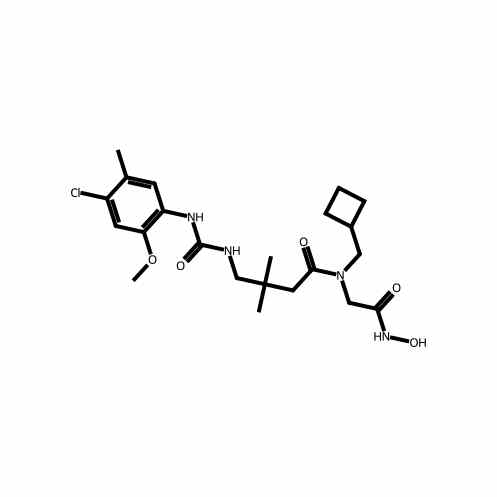 COc1cc(Cl)c(C)cc1NC(=O)NCC(C)(C)CC(=O)N(CC(=O)NO)CC1CCC1